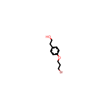 OCCc1ccc(OCCCBr)cc1